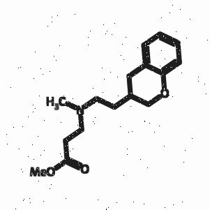 COC(=O)CCN(C)CCC1COc2ccccc2C1